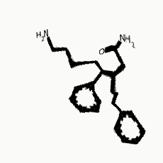 NCCCCC([C](CCc1ccccc1)CC(N)=O)c1ccccc1